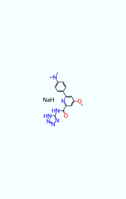 COc1cc(C(=O)Nc2nnn[nH]2)nc(-c2ccc(N(C)C)cc2)c1.[NaH]